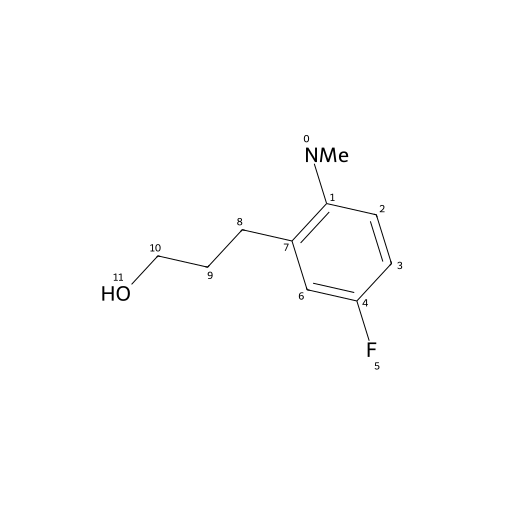 CNc1ccc(F)cc1CCCO